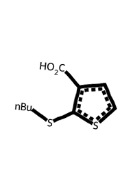 CCCCSc1sccc1C(=O)O